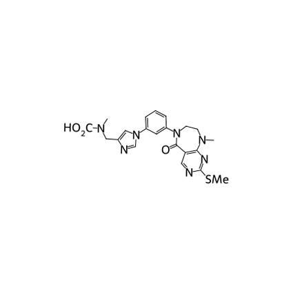 CSc1ncc2c(n1)N(C)CCN(c1cccc(-n3cnc(CN(C)C(=O)O)c3)c1)C2=O